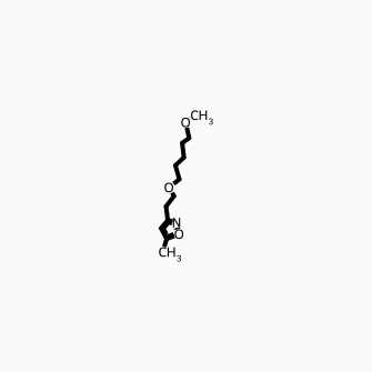 COCCCCCOCCc1cc(C)on1